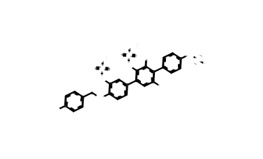 Cc1ccc(COc2ccc(-c3cc(C)c(-c4ccc(OS(C)(=O)=O)cc4)c(C)c3OS(C)(=O)=O)cc2OS(C)(=O)=O)cc1